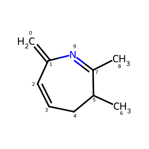 C=C1C=CCC(C)C(C)=N1